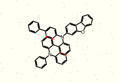 c1ccc(-c2ccc(N(c3ccc4c(c3)oc3ccccc34)c3ccccc3-c3ccccc3N(c3ccccc3)c3ccccc3)cc2)cc1